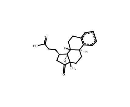 C[C@]12CC[C@@H]3c4ccccc4CC[C@H]3[C@@H]1[C@H](CCC(=O)O)CC2=O